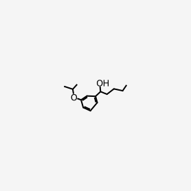 CCCCC(O)c1cccc(OC(C)C)c1